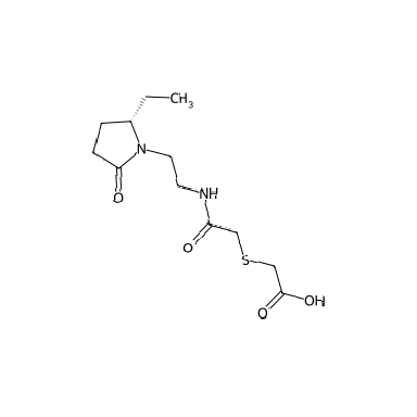 CC[C@H]1CCC(=O)N1CCNC(=O)CSCC(=O)O